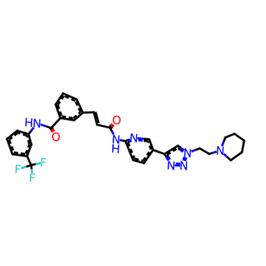 O=C(C=Cc1cccc(C(=O)Nc2cccc(C(F)(F)F)c2)c1)Nc1ccc(-c2cn(CCN3CCCCC3)nn2)cn1